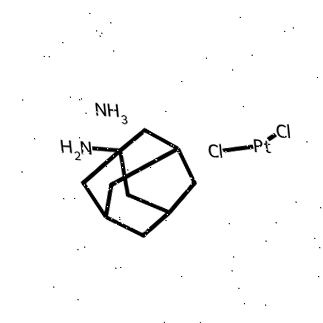 N.NC12CC3CC(CC(C3)C1)C2.[Cl][Pt][Cl]